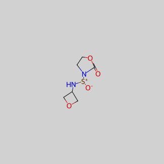 O=C1OCCN1[S+]([O-])NC1COC1